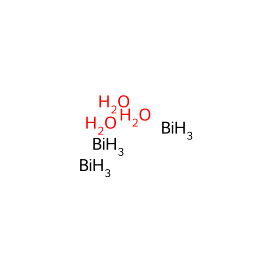 O.O.O.[BiH3].[BiH3].[BiH3]